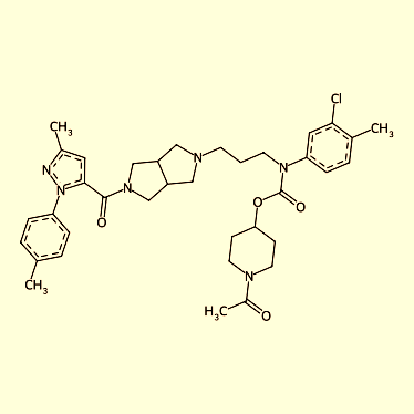 CC(=O)N1CCC(OC(=O)N(CCCN2CC3CN(C(=O)c4cc(C)nn4-c4ccc(C)cc4)CC3C2)c2ccc(C)c(Cl)c2)CC1